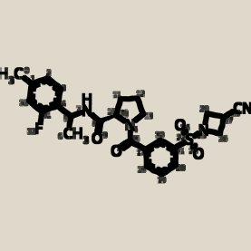 Cc1ccc(C(C)NC(=O)[C@H]2CCCN2C(=O)c2cccc(S(=O)(=O)N3CC(C#N)C3)c2)c(F)c1